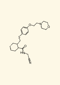 N#CCNC(=O)C1CCCCC1CSc1ccc(OCCN2CCOCC2)cc1